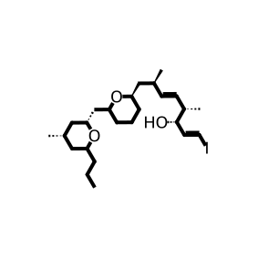 CCCC1C[C@H](C)C[C@H](CC2CCC[C@H](C[C@@H](C)/C=C/[C@H](C)[C@@H](O)/C=C/I)O2)O1